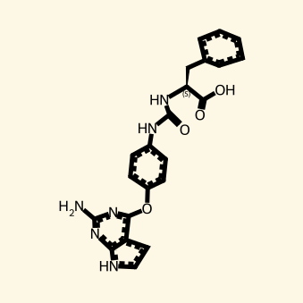 Nc1nc(Oc2ccc(NC(=O)N[C@@H](Cc3ccccc3)C(=O)O)cc2)c2cc[nH]c2n1